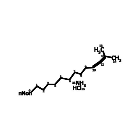 CCCCCCCCCCCCCCCCCCC=C=C(C)C.Cl.N